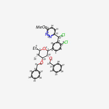 CC[C@H]1OC(c2ccc(Cl)c(C(Cl)c3ccc(OC)nn3)c2)[C@H](OCc2ccccc2)[C@@H](OCc2ccccc2)[C@@H]1C